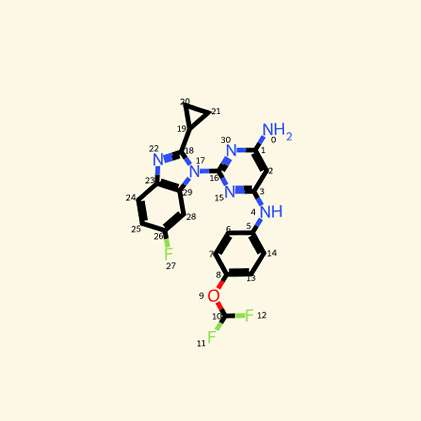 Nc1cc(Nc2ccc(OC(F)F)cc2)nc(-n2c(C3CC3)nc3ccc(F)cc32)n1